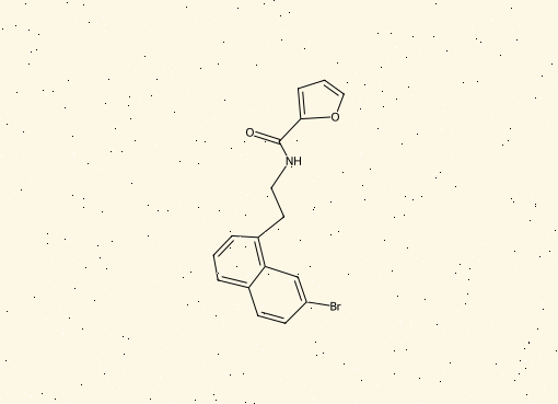 O=C(NCCc1cccc2ccc(Br)cc12)c1ccco1